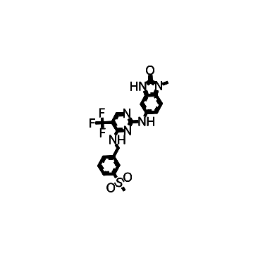 Cn1c(=O)[nH]c2cc(Nc3ncc(C(F)(F)F)c(NCc4cccc(S(C)(=O)=O)c4)n3)ccc21